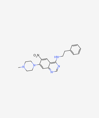 CN1CCN(c2cc3ncnc(NCCc4ccccc4)c3cc2[N+](=O)[O-])CC1